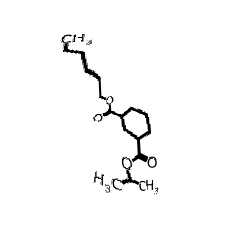 CCCCCCOC(=O)C1CCCC(C(=O)OC(C)C)C1